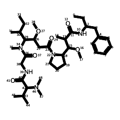 CCC(Cc1ccccc1)NC(=O)C(C)C(OC)C1CCCN1C(=O)CC(OC)C(C(C)CC)N(C)C(=O)CNC(=O)C(C(C)C)N(C)C